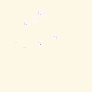 CCCCN(C(=O)CN1C[C@H](c2ccc3c(c2)CCO3)[C@@H](C(=O)O)[C@@H]1CCc1ncccn1)c1cccc(CN)c1